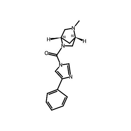 CN1C[C@@H]2C[C@H]1CN2C(=O)n1cnc(-c2ccccc2)c1